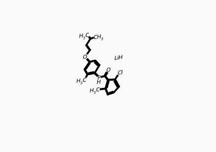 Cc1cc(OCCC(C)C)ccc1PC(=O)c1c(C)cccc1Cl.[LiH]